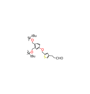 CC(C)(C)[Si](C)(C)OCc1ccc(OCc2cc(CCC=O)cs2)cc1CO[Si](C)(C)C(C)(C)C